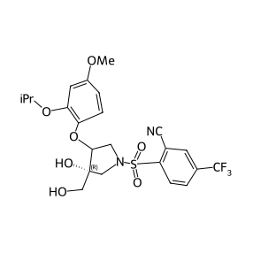 COc1ccc(OC2CN(S(=O)(=O)c3ccc(C(F)(F)F)cc3C#N)C[C@@]2(O)CO)c(OC(C)C)c1